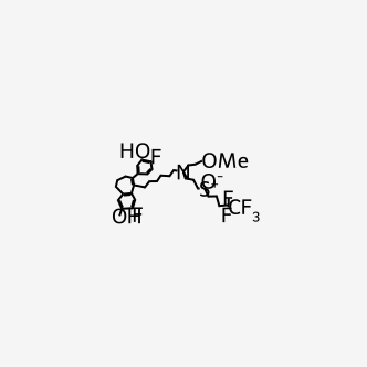 COCCCN(CCCCCCC1=C(c2ccc(F)c(O)c2)CCCc2cc(O)c(F)cc21)CCC[S+]([O-])CCCC(F)(F)C(F)(F)F